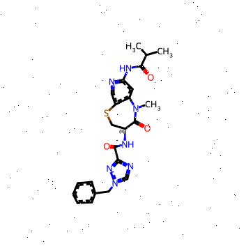 CC(C)C(=O)Nc1cc2c(cn1)SC[C@H](NC(=O)c1ncn(Cc3ccccc3)n1)C(=O)N2C